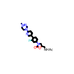 CC(=O)NCC1CN(c2ccc(-c3ccc(N4C=NN(C)CC4)nc3)c(F)c2)C(=O)O1